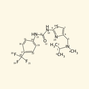 CC(C)N(C)Cc1csc(NC(=O)Nc2ccc(C(F)(F)F)cc2)n1